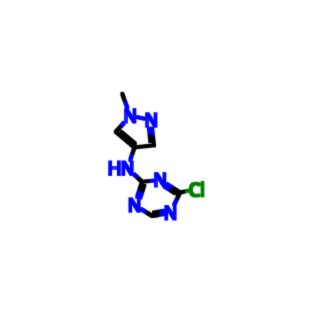 Cn1cc(Nc2ncnc(Cl)n2)cn1